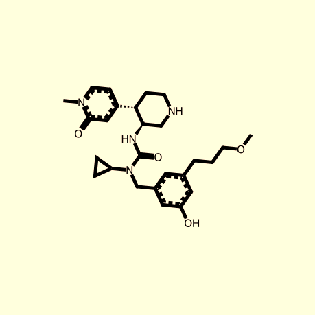 COCCCc1cc(O)cc(CN(C(=O)N[C@@H]2CNCC[C@H]2c2ccn(C)c(=O)c2)C2CC2)c1